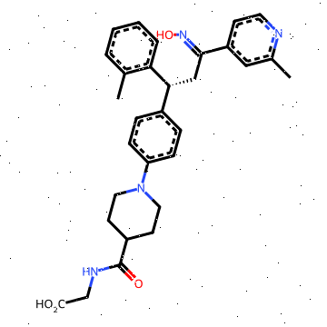 Cc1cc(/C(C[C@H](c2ccc(N3CCC(C(=O)NCC(=O)O)CC3)cc2)c2ccccc2C)=N/O)ccn1